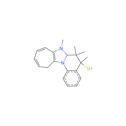 CN1C2=C(CC=CC=C2)N2c3ccccc3C(C)(S)C(C)(C)C12